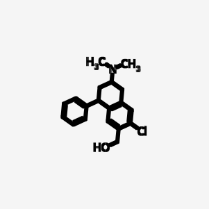 CN(C)C1Cc2cc(Cl)c(CO)cc2C(c2ccccc2)C1